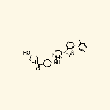 Cc1ccncc1-c1cccc2c1nnn2-c1ccnc(N[C@H]2CC[C@H](C(=O)N3CCC(O)CC3)CC2)n1